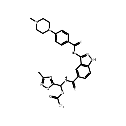 Cc1noc(C(NC(=O)c2ccc3[nH]nc(NC(=O)c4ccc(N5CCN(C)CC5)cc4)c3c2)OC(=O)C(F)(F)F)n1